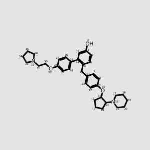 Oc1ccc(Cc2ccc(OC3CCCC3N3CCCCC3)cc2)c(-c2ccc(OCCN3CCCC3)cc2)c1